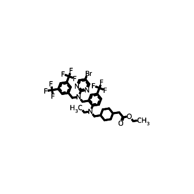 CCOC(=O)CC1CCC(CN(CC)c2ccc(C(F)(F)F)cc2CN(Cc2cc(C(F)(F)F)cc(C(F)(F)F)c2)c2ncc(Br)cn2)CC1